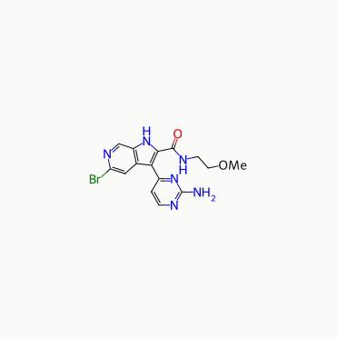 COCCNC(=O)c1[nH]c2cnc(Br)cc2c1-c1ccnc(N)n1